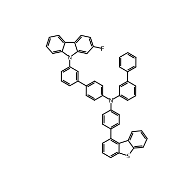 Fc1ccc2c3ccccc3n(-c3cccc(-c4ccc(N(c5ccc(-c6cccc7sc8ccccc8c67)cc5)c5cccc(-c6ccccc6)c5)cc4)c3)c2c1